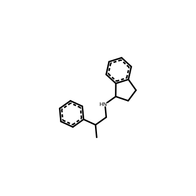 CC(CNC1CCc2ccccc21)c1ccccc1